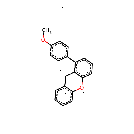 COc1ccc(-c2cccc3c2[CH]c2ccccc2O3)cc1